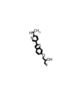 CNc1ccc(-c2cc3ccc(OCC(O)CF)cc3s2)cn1